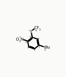 CC(C)(C)c1ccc([N+](=O)[O-])c(SC(F)(F)F)c1